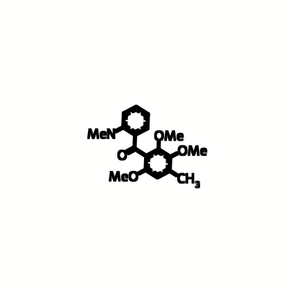 CNc1ccccc1C(=O)c1c(OC)cc(C)c(OC)c1OC